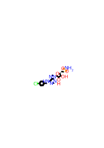 NS(=O)(=O)CC[C@H]1O[C@@H](n2cnc3c(NCc4ccc(Cl)cc4)ncnc32)[C@H](O)[C@H]1O